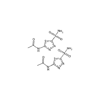 CC(=O)Nc1nnc(S(N)(=O)=O)s1.CC(=O)Nc1nnc(S(N)(=O)=O)s1